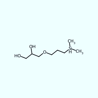 C[SiH](C)CCCOCC(O)CO